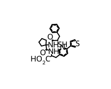 O=C(NC1(C(=O)NC(Cc2ccc(-c3ccsc3)nc2)C(=O)O)CCCC1)C(S)Cc1ccccc1